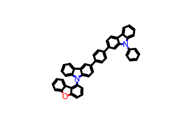 c1ccc(-n2c3ccccc3c3ccc(-c4ccc(-c5ccc6c(c5)c5ccccc5n6-c5cccc6oc7ccccc7c56)cc4)cc32)cc1